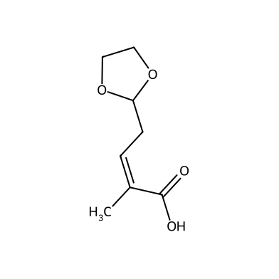 CC(=CCC1OCCO1)C(=O)O